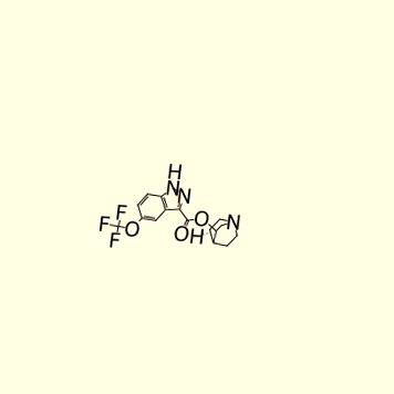 O=C(O[C@H]1CN2CCC1CC2)c1n[nH]c2ccc(OC(F)(F)F)cc12